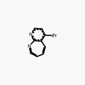 CC(C)c1ccnc2c1C=CC=C=N2